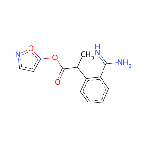 CC(C(=O)Oc1ccno1)c1ccccc1C(=N)N